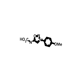 COc1ccc(-[n+]2cc([N-]C(=O)O)on2)cc1